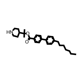 CCCCCCCc1ccc(-c2ccc(C(=O)OC(C)(C)C3CCNCC3)cc2)cc1